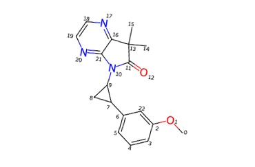 COc1cccc(C2CC2N2C(=O)C(C)(C)c3nccnc32)c1